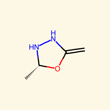 C=C1NN[C@@H](C)O1